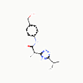 CC(C)[C@H](C)c1nnc([C@@H](C)C(=O)Nc2ccc(CO)cc2)[nH]1